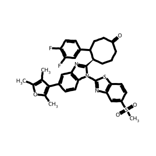 Cc1oc(C)c(-c2ccc3c(c2)nc([C@@H]2CCCC(=O)CCC2c2ccc(F)c(F)c2)n3-c2nc3cc(S(C)(=O)=O)ccc3s2)c1C